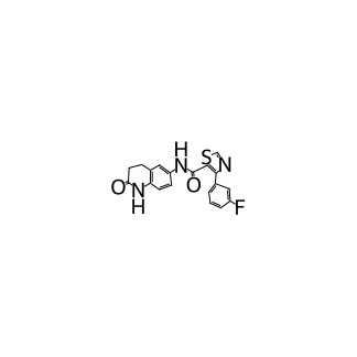 O=C1CCc2cc(NC(=O)c3scnc3-c3cccc(F)c3)ccc2N1